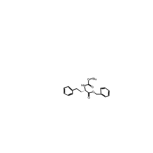 CC(C)(C)OC(=O)N[C@@H](CCc1ccccc1)C(=O)OCc1ccccc1